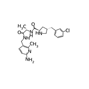 Cc1nc(N)ccc1CNC(=O)[C@H](C)NC(=O)[C@H]1C[C@H](Cc2cccc(Cl)c2)CN1